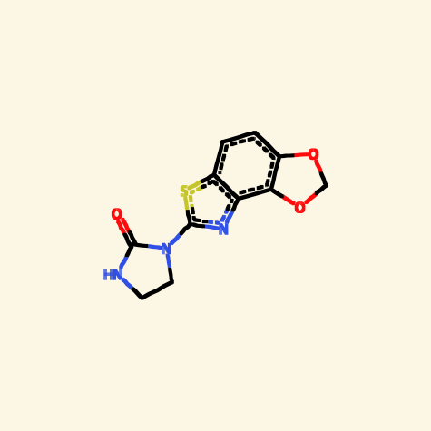 O=C1NCCN1c1nc2c3c(ccc2s1)OCO3